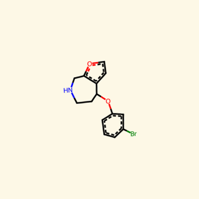 Brc1cccc(OC2CCNCc3occc32)c1